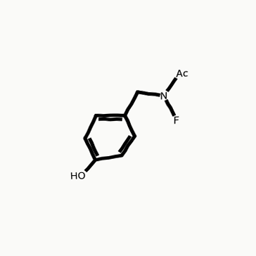 CC(=O)N(F)Cc1ccc(O)cc1